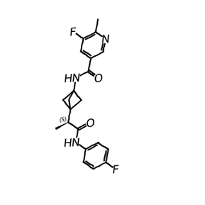 Cc1ncc(C(=O)NC23CC([C@H](C)C(=O)Nc4ccc(F)cc4)(C2)C3)cc1F